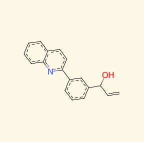 C=CC(O)c1cccc(-c2ccc3ccccc3n2)c1